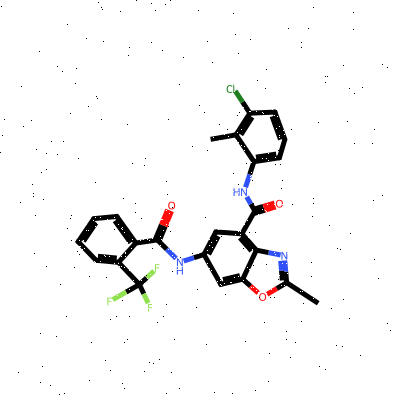 Cc1nc2c(C(=O)Nc3cccc(Cl)c3C)cc(NC(=O)c3ccccc3C(F)(F)F)cc2o1